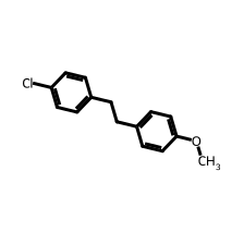 COc1ccc(CCc2ccc(Cl)cc2)cc1